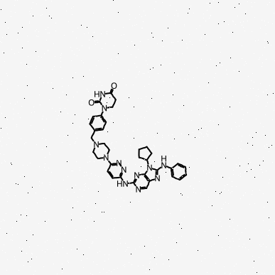 O=C1CCN(c2ccc(CN3CCN(c4ccc(Nc5ncc6nc(Nc7ccccc7)n(C7CCCC7)c6n5)nn4)CC3)cc2)C(=O)N1